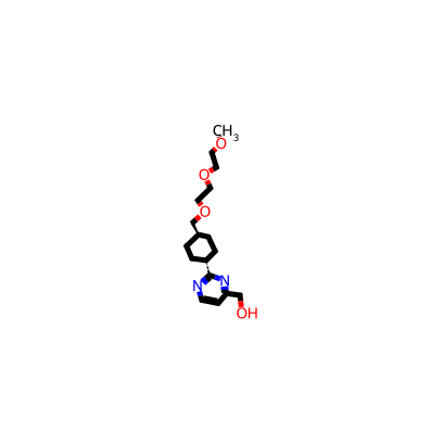 COCCOCCOC[C@H]1CC[C@H](c2nccc(CO)n2)CC1